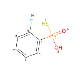 O=P(O)(S)c1ccccc1F